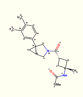 COC(=O)N[C@]1(C)C[C@H](C(=O)N2CC3CC3(c3ccc(C)c(C(F)(F)F)c3)C2)C1